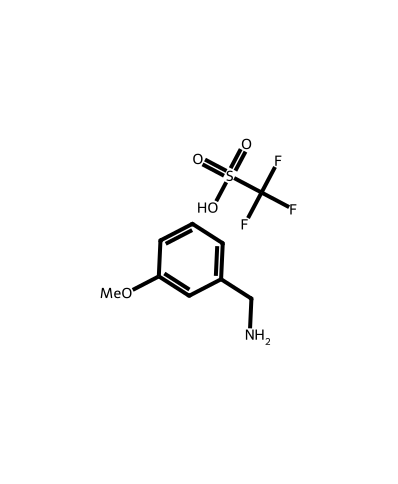 COc1cccc(CN)c1.O=S(=O)(O)C(F)(F)F